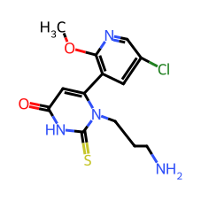 COc1ncc(Cl)cc1-c1cc(=O)[nH]c(=S)n1CCCN